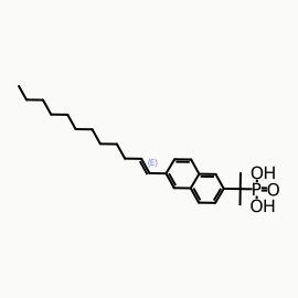 CCCCCCCCCC/C=C/c1ccc2cc(C(C)(C)P(=O)(O)O)ccc2c1